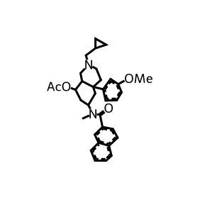 COc1cccc(C23CCN(CC4CC4)CC2C(OC(C)=O)CC(N(C)C(=O)c2ccc4ccccc4c2)C3)c1